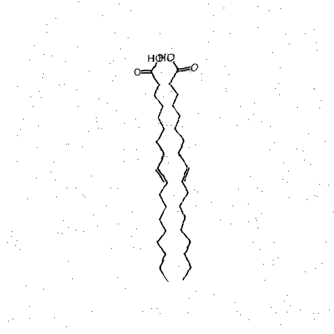 CCCCCCCC/C=C/CCCCCCCC(=O)O.CCCCCCCCC=CCCCCCCCC(=O)O